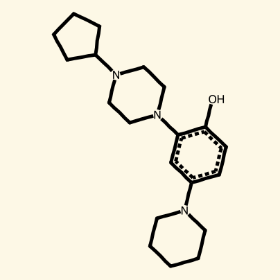 Oc1ccc(N2CCCCC2)cc1N1CCN(C2CCCC2)CC1